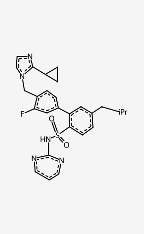 CC(C)Cc1ccc(S(=O)(=O)Nc2ncccn2)c(-c2ccc(Cn3ccnc3C3CC3)c(F)c2)c1